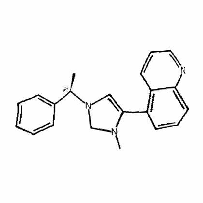 C[C@H](c1ccccc1)N1C=C(c2cccc3ncccc23)N(C)C1